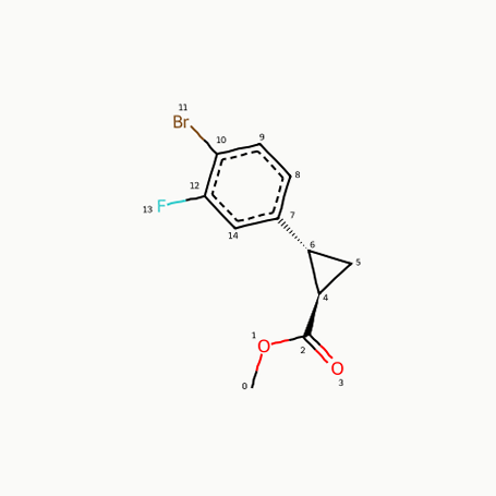 COC(=O)[C@@H]1C[C@H]1c1ccc(Br)c(F)c1